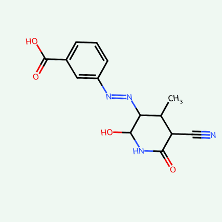 CC1C(C#N)C(=O)NC(O)C1N=Nc1cccc(C(=O)O)c1